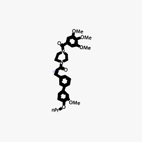 CCCOc1ccc(-c2cccc(/C=C\C(=O)N3CCN(C(=O)c4cc(OC)c(OC)c(OC)c4)CC3)c2)cc1OC